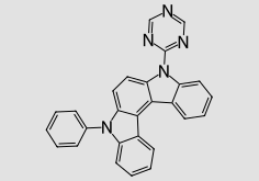 c1ccc(-n2c3ccccc3c3c4c5ccccc5n(-c5ncncn5)c4ccc32)cc1